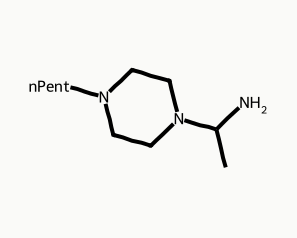 CCCCCN1CCN(C(C)N)CC1